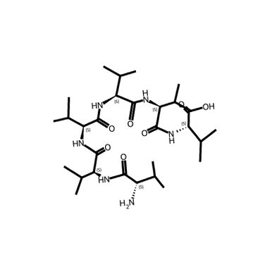 CC(C)[C@H](N)C(=O)N[C@H](C(=O)N[C@H](C(=O)N[C@H](C(=O)N[C@H](C(=O)N[C@H](C(=O)O)C(C)C)C(C)C)C(C)C)C(C)C)C(C)C